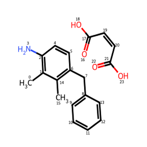 Cc1c(N)ccc(Cc2ccccc2)c1C.O=C(O)/C=C\C(=O)O